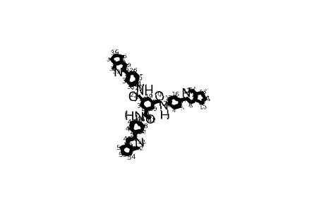 O=C(Nc1ccc(-c2cc3c(cn2)CCC3)cc1)C1CC(C(=O)Nc2ccc(-c3cc4c(cn3)CCC4)cc2)CC(C(=O)Nc2ccc(-c3cc4c(cn3)CCC4)cc2)C1